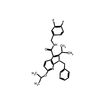 CC(C)Oc1ccc2c(C(=O)NCc3ccc(F)c(F)c3)c(C(C)C)n(Cc3ccccc3)c2n1